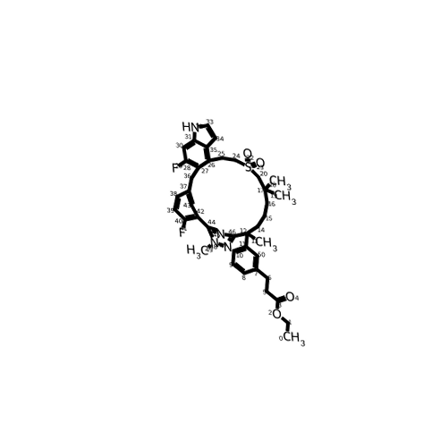 CCOC(=O)CCc1cccc(C2(C)CCCC(C)(C)CS(=O)(=O)CCc3c(c(F)cc4[nH]ccc34)Cc3ccc(F)c(c3)-c3nc2nn3C)c1